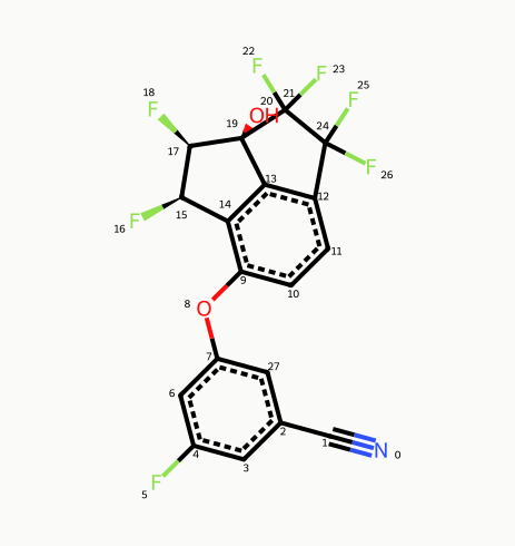 N#Cc1cc(F)cc(Oc2ccc3c4c2[C@@H](F)[C@@H](F)[C@]4(O)C(F)(F)C3(F)F)c1